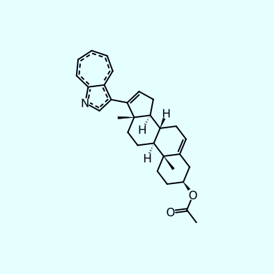 CC(=O)O[C@H]1CC[C@@]2(C)C(=CC[C@@H]3[C@@H]2CC[C@]2(C)C(c4cnc5cccccc4-5)=CC[C@@H]32)C1